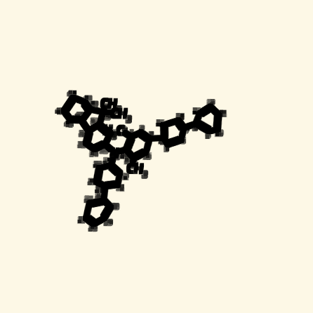 Cc1cc(-c2ccc(-c3ccccc3)cc2)cc(C)c1N(c1ccc(-c2ccccc2)cc1)c1ccc2c(c1)C(C)(C)c1ccccc1-2